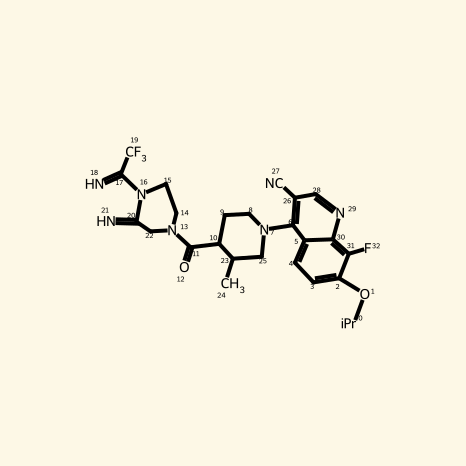 CC(C)Oc1ccc2c(N3CCC(C(=O)N4CCN(C(=N)C(F)(F)F)C(=N)C4)C(C)C3)c(C#N)cnc2c1F